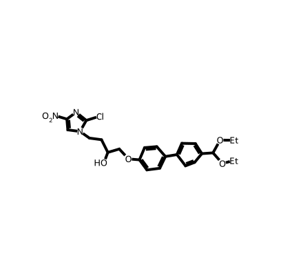 CCOC(OCC)c1ccc(-c2ccc(OCC(O)CCn3cc([N+](=O)[O-])nc3Cl)cc2)cc1